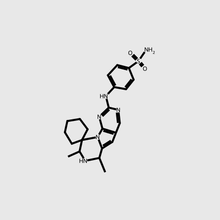 CC1NC(C)C2(CCCCC2)n2c1cc1cnc(Nc3ccc(S(N)(=O)=O)cc3)nc12